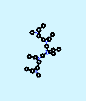 c1ccc(-c2ccc3c(c2)c2cc(-c4ccc5c(c4)c4cc(-c6ccccc6)ccc4n5-c4ccc(-c5nc(-c6ccc(-n7c8ccc(-c9ccccc9)cc8c8cc(-c9ccc%10c(c9)c9cc(-c%11ccccc%11)ccc9n%10-c9ccccc9)ccc87)cc6)c6c(n5)-c5cccc7c(-c8ccccc8)ccc-6c57)cc4)ccc2n3-c2ccccc2)cc1